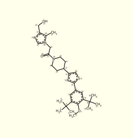 COc1c(C(C)(C)C)cc(-c2nc(C3CCN(C(=O)Cn4cnc(CO)c4C)CC3)cs2)cc1C(C)(C)C